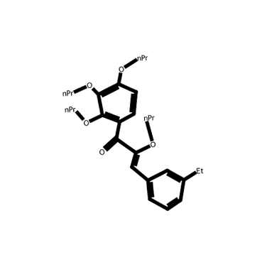 CCCOC(=Cc1cccc(CC)c1)C(=O)c1ccc(OCCC)c(OCCC)c1OCCC